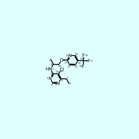 CCc1ncnc(NC(C)COc2ccc(C(F)(F)F)cn2)c1Cl